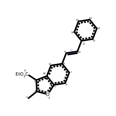 CCOC(=O)c1c(C)oc2ccc(/C=C/c3ccccc3)cc12